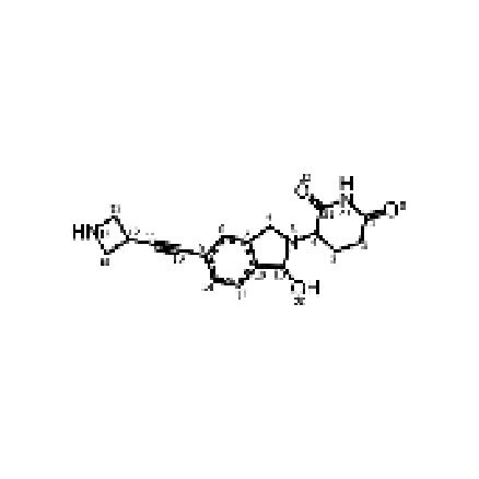 O=C1CCC(N2Cc3cc(C#CC4CNC4)ccc3C2O)C(=O)N1